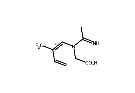 C=C/C(=C\N(CC(=O)O)C(C)=N)C(F)(F)F